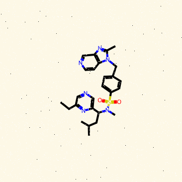 CCc1cncc(C(CC(C)C)N(C)S(=O)(=O)c2ccc(Cn3c(C)nc4cnccc43)cc2)n1